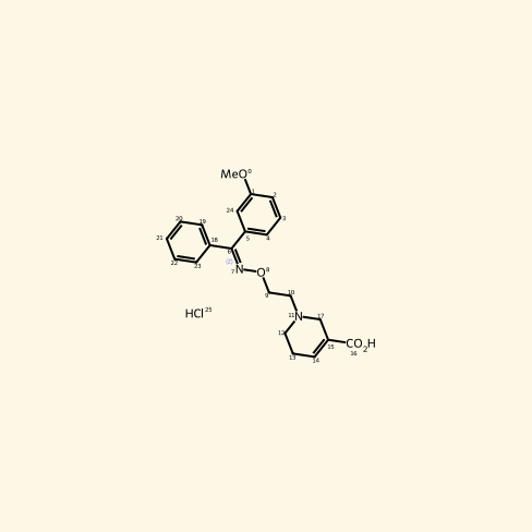 COc1cccc(/C(=N\OCCN2CCC=C(C(=O)O)C2)c2ccccc2)c1.Cl